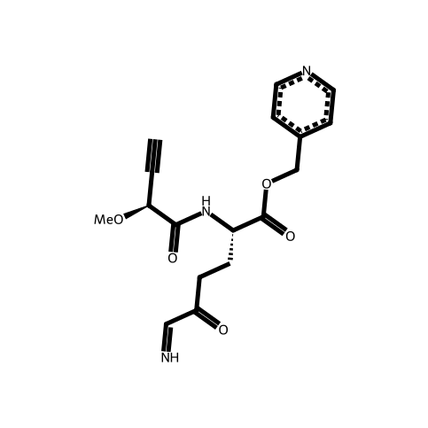 C#C[C@H](OC)C(=O)N[C@@H](CCC(=O)C=N)C(=O)OCc1ccncc1